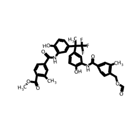 COC(=O)c1ccc(C(=O)Nc2cc(C(C)(c3ccc(O)c(NC(=O)c4ccc(COC=O)c(C)c4)c3)C(F)(F)F)ccc2O)cc1C